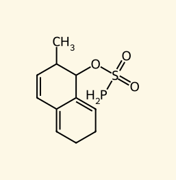 CC1C=CC2=CCCC=C2C1OS(=O)(=O)P